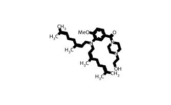 COc1ccc(C(=O)N2CCN(CCO)CC2)cc1N(CC=C(C)CCC=C(C)C)CC=C(C)CCC=C(C)C